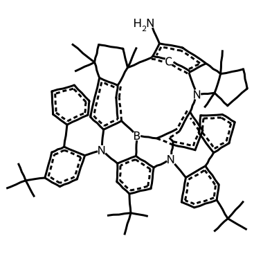 CC(C)(C)c1ccc(N2c3ccc4cc3B3c5cc6c(cc5N(c5ccc(C(C)(C)C)cc5-c5ccccc5)c5cc(C(C)(C)C)cc2c53)C(C)(C)CCC6(C)c2cc3c(cc2N)C2(C)CCCC2(C)N43)c(-c2ccccc2)c1